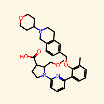 COCC1C(C(=O)O)CCN1c1cccc(-c2cccc(C)c2OCc2ccc3c(c2)CCN(C2CCOCC2)C3)n1